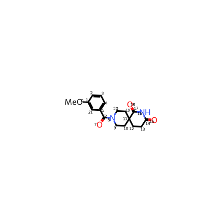 COc1cccc(C(=O)N2CCC3(CCC(=O)NC3=O)CC2)c1